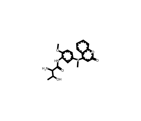 COc1ccc(N(C)c2cc(=O)oc3ccccc23)cc1NC(=O)C(N)C(C)O